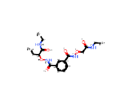 CC(C)CNC(=O)CONC(=O)c1cccc(C(=O)NOC(CC(C)C)C(=O)NCC(C)C)c1